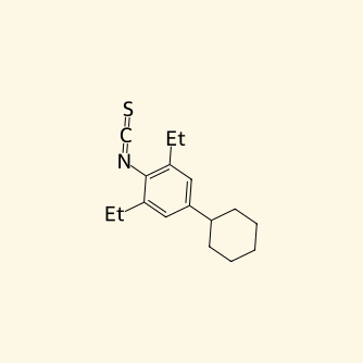 CCc1cc(C2CCCCC2)cc(CC)c1N=C=S